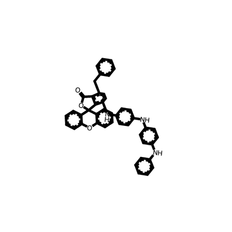 O=C1OC2(c3ccccc3Oc3ccccc32)c2c(Nc3ccc(Nc4ccc(Nc5ccccc5)cc4)cc3)ccc(Cc3ccccc3)c21